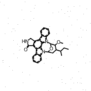 CCC(C)C1CC2OC(C1OC)n1c3ccccc3c3c4c(c5c6ccccc6n2c5c31)C(=O)NC4